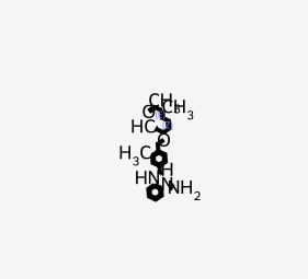 C#CC(/C=C\C=C(/C)C(C)=O)OCc1ccc(CNc2ccccc2NN)cc1C